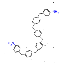 Cc1cc(Cc2ccc(Cc3ccc(N)cc3)cc2)ccc1Cc1ccc(Cc2ccc(Cc3ccc(N)cc3)cc2)cc1